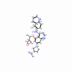 C[C@@H](Oc1cc(N2CC[C@H](N(C)C)C2)cc2ncnc(Nc3ccc4ncccc4c3F)c12)C1COC1